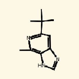 Cc1nc(C(C)(C)C)cc2nc[nH]c12